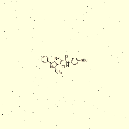 CCCCc1ccc(NC(=O)c2cnc3c(c(C)nn3-c3ccccc3)c2Cl)cc1